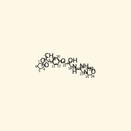 [CH2]C1OC2(CCCC2)OC1c1ccc(OCC(O)CNCC(N)CN2CCOCC2)cc1